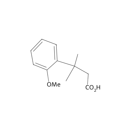 COc1ccccc1C(C)(C)CC(=O)O